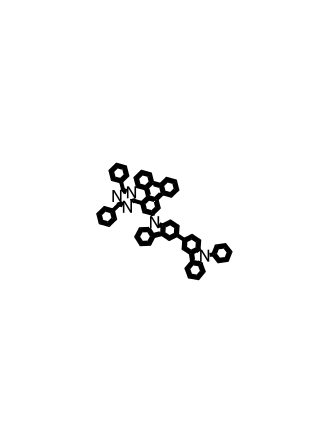 c1ccc(-c2nc(-c3ccccc3)nc(-c3cc(-n4c5ccccc5c5cc(-c6ccc7c(c6)c6ccccc6n7-c6ccccc6)ccc54)cc4c5ccccc5c5ccccc5c34)n2)cc1